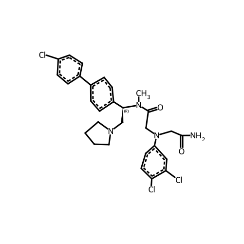 CN(C(=O)CN(CC(N)=O)c1ccc(Cl)c(Cl)c1)[C@@H](CN1CCCC1)c1ccc(-c2ccc(Cl)cc2)cc1